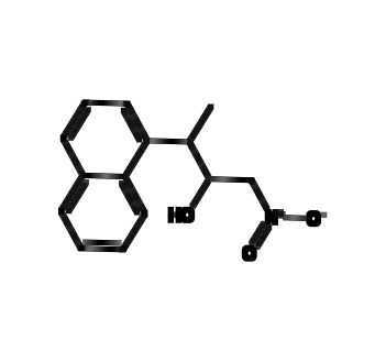 CC(c1cccc2ccccc12)C(O)C[N+](=O)[O-]